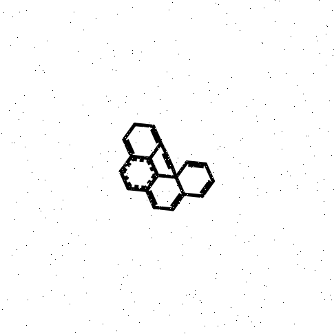 C1=CC2=CC=c3ccc4c5c3C2(C=C1)C=CC5=CCC=4